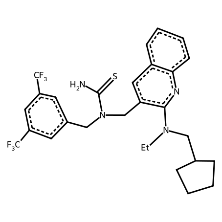 CCN(CC1CCCC1)c1nc2ccccc2cc1CN(Cc1cc(C(F)(F)F)cc(C(F)(F)F)c1)C(N)=S